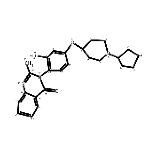 Cc1cc(OC2CCN(C3CCCC3)CC2)ccc1-n1c(C)nc2ccccc2c1=O